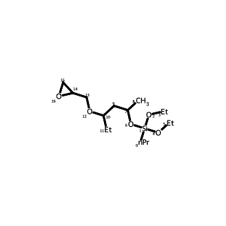 CCC[Si](OCC)(OCC)OC(C)CC(CC)OCC1CO1